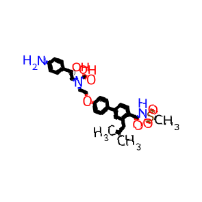 CC(C)Cc1cc(-c2ccc(OCCN(C[C@H](O)c3ccc(N)cc3)C(=O)O)cc2)ccc1C(=O)NS(C)(=O)=O